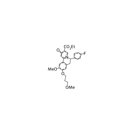 CCOC(=O)c1cn2c(cc1=O)-c1cc(OC)c(OCCCOC)cc1CC2c1ccc(F)cc1